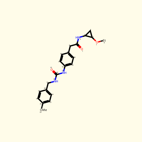 CCOC1CC1NC(=O)Cc1ccc(NC(=O)NCc2ccc(OC)cc2)cc1